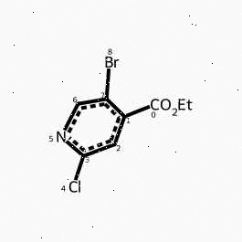 CCOC(=O)c1cc(Cl)ncc1Br